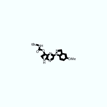 COc1ccc2c(cnn2-c2cnc3[nH]cc(OC(=O)NC(C)(C)C)c3n2)c1